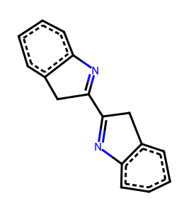 c1ccc2c(c1)CC(C1=Nc3ccccc3C1)=N2